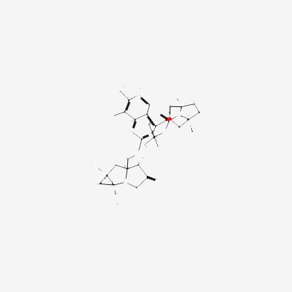 C=C1CN2[C@@H]3C[C@@H]3CC2(COc2nc(N3C[C@H]4CC[C@@H](C3)N4C(=O)OC(C)(C)C)c3cnc(Cl)c(F)c3n2)C1